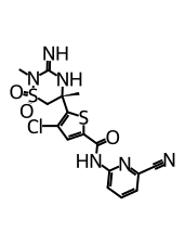 CN1C(=N)N[C@](C)(c2sc(C(=O)Nc3cccc(C#N)n3)cc2Cl)CS1(=O)=O